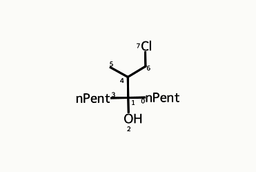 CCCCCC(O)(CCCCC)C(C)CCl